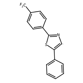 FC(F)(F)c1ccc(-c2n[c]c(-c3ccccc3)s2)cc1